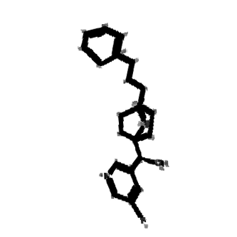 O[C@@H](c1cncc(F)c1)C12CCC(CCCc3ccccc3)(CC1)N2